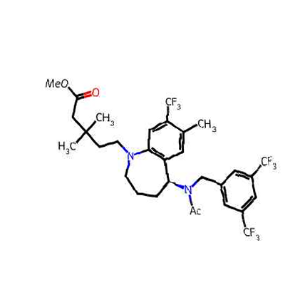 COC(=O)CC(C)(C)CCN1CCC[C@H](N(Cc2cc(C(F)(F)F)cc(C(F)(F)F)c2)C(C)=O)c2cc(C)c(C(F)(F)F)cc21